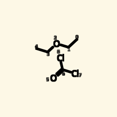 CCOCC.O=C(Cl)Cl